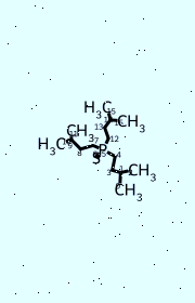 CC(C)CCP(=S)(CCC(C)C)CCC(C)C